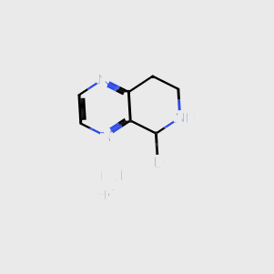 CCC1NCCc2nccnc21.Cl.Cl